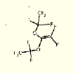 FC(F)=C(OC(F)(F)C(F)(F)F)OC(F)(F)C(F)(F)F